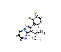 CC(C)c1c(-c2cccc(F)c2F)nn2cccnc12